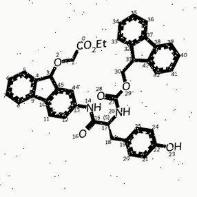 CCOC(=O)COC1c2ccccc2-c2ccc(NC(=O)[C@H](Cc3ccc(O)cc3)NC(=O)OCC3c4ccccc4-c4ccccc43)cc21